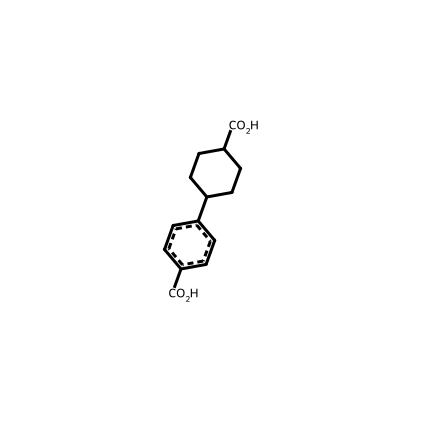 O=C(O)c1ccc(C2CCC(C(=O)O)CC2)cc1